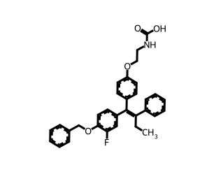 CCC(=C(c1ccc(OCCNC(=O)O)cc1)c1ccc(OCc2ccccc2)c(F)c1)c1ccccc1